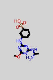 COc1nc(Nc2cccc(S(=O)(=O)O)c2)nc(NC(C)N)n1